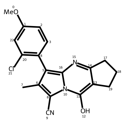 COc1ccc(-c2c(C)c(C#N)n3c(O)c4c(nc23)CCC4)c(Cl)c1